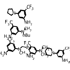 CC(C)CN(C)c1cc(N)cc(C(F)(F)F)c1.CCCCN(C)c1cc(N)cc(C(F)(F)F)c1.CN(C)c1cc(N)cc(C(F)(F)F)c1.Nc1cc(N2CCCC2)cc(C(F)(F)F)c1.Nc1cc(N2CCCCC2)cc(C(F)(F)F)c1